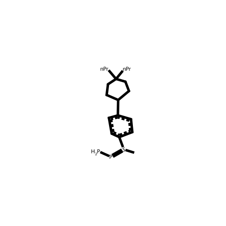 CCCC1(CCC)CCC(c2ccc(/S(C)=P\P)cc2)CC1